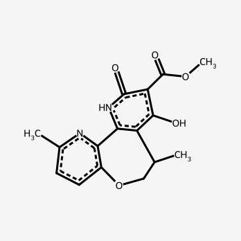 COC(=O)c1c(O)c2c([nH]c1=O)-c1nc(C)ccc1OCC2C